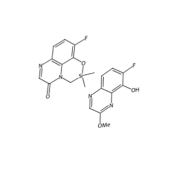 COc1cnc2ccc(F)c(O)c2n1.C[Si]1(C)Cn2c(=O)cnc3ccc(F)c(c32)O1